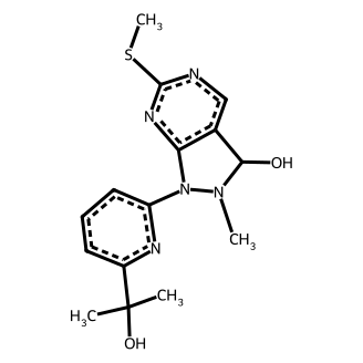 CSc1ncc2c(n1)N(c1cccc(C(C)(C)O)n1)N(C)C2O